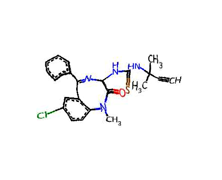 C#CC(C)(C)NC(=S)NC1N=C(c2ccccc2)c2cc(Cl)ccc2N(C)C1=O